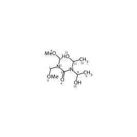 COCN(COC)C(=O)N(C(C)O)C(C)O